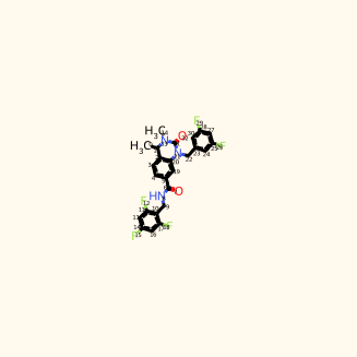 CC1c2ccc(C(=O)NCc3c(F)cc(F)cc3F)cc2N(Cc2cc(F)cc(F)c2)C(=O)N1C